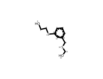 OCCSc1cccc(CSCO)c1